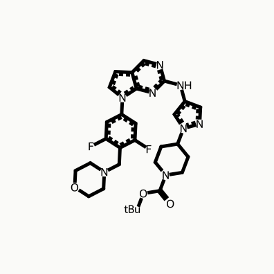 CC(C)(C)OC(=O)N1CCC(n2cc(Nc3ncc4ccn(-c5cc(F)c(CN6CCOCC6)c(F)c5)c4n3)cn2)CC1